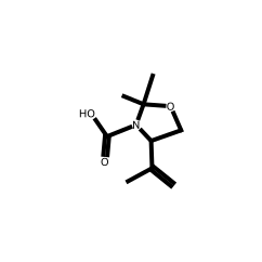 C=C(C)C1COC(C)(C)N1C(=O)O